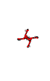 CCC1(COCCCCCCc2ccc(N(c3ccc(CCCCCCOCC4(CC)COC4)cc3)c3cc(Cl)c(-c4cc(Cl)c(N(c5ccc(CCCCCCOCC6(CC)COC6)cc5)c5ccc(CCCCCCOCC6(CC)COC6)cc5)cc4Cl)cc3Cl)cc2)COC1